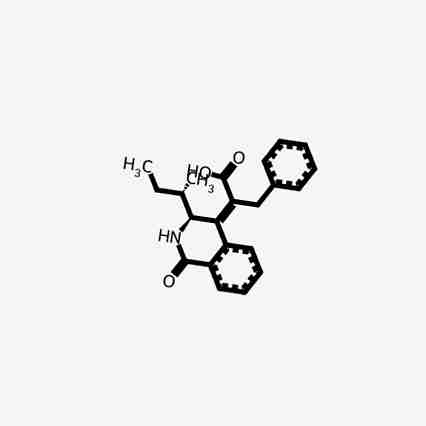 CC[C@H](C)[C@@H]1NC(=O)c2ccccc2/C1=C(\Cc1ccccc1)C(=O)O